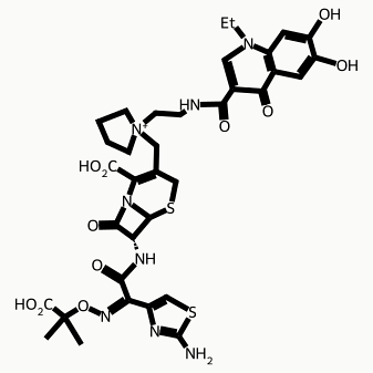 CCn1cc(C(=O)NCC[N+]2(CC3=C(C(=O)O)N4C(=O)[C@@H](NC(=O)/C(=N\OC(C)(C)C(=O)O)c5csc(N)n5)C4SC3)CCCC2)c(=O)c2cc(O)c(O)cc21